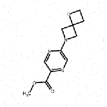 COC(=O)c1cnc(N2CC3(CCO3)C2)cn1